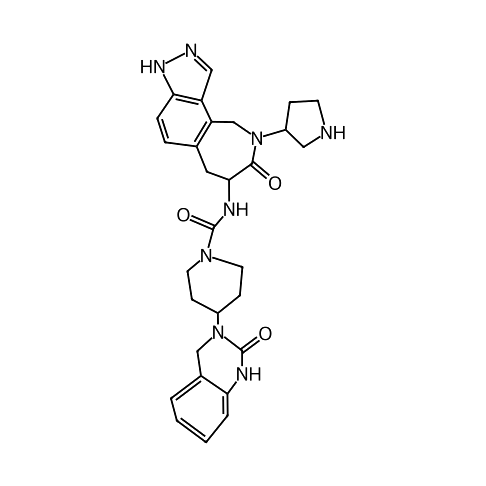 O=C(NC1Cc2ccc3[nH]ncc3c2CN(C2CCNC2)C1=O)N1CCC(N2Cc3ccccc3NC2=O)CC1